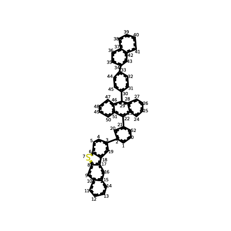 c1cc(-c2ccc3sc4cc5ccccc5cc4c3c2)cc(-c2c3ccccc3c(-c3ccc(-c4ccc5ccccc5c4)cc3)c3ccccc23)c1